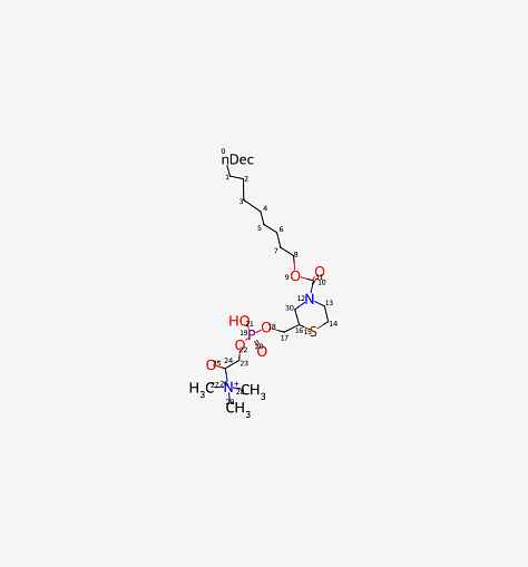 CCCCCCCCCCCCCCCCCCOC(=O)N1CCSC(COP(=O)(O)OCC([O-])[N+](C)(C)C)C1